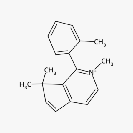 Cc1ccccc1-c1c2c(cc[n+]1C)C=CC2(C)C